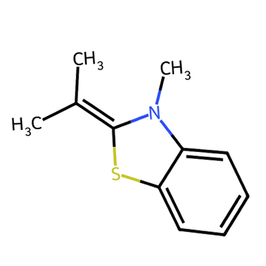 CC(C)=C1Sc2ccccc2N1C